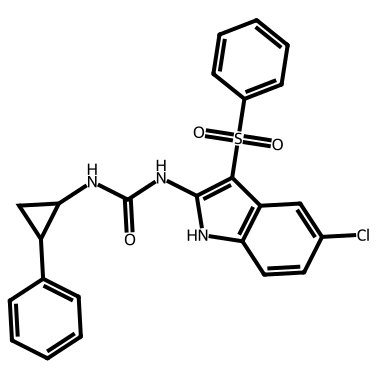 O=C(Nc1[nH]c2ccc(Cl)cc2c1S(=O)(=O)c1ccccc1)NC1CC1c1ccccc1